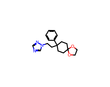 c1ccc(C2(CCn3cncn3)CCC3(CC2)OCCO3)cc1